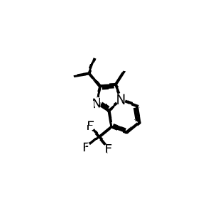 Cc1c(C(C)C)nc2c(C(F)(F)F)cccn12